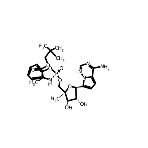 C[C@H](N[P@](=O)(OC[C@@]1(C)O[C@@H](c2ccc3c(N)ncnn23)[C@H](O)[C@@H]1O)Oc1ccccc1)C(=O)OCC(C)(C)C(F)(F)F